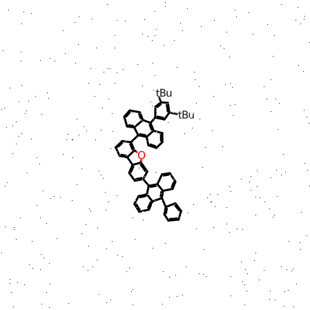 CC(C)(C)c1cc(-c2c3ccccc3c(-c3cccc4c3oc3cc(-c5c6ccccc6c(-c6ccccc6)c6ccccc56)ccc34)c3ccccc23)cc(C(C)(C)C)c1